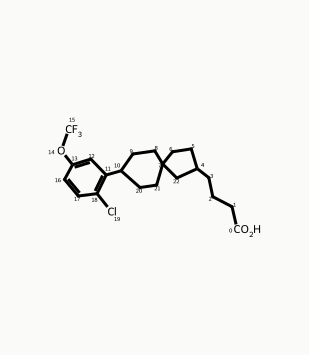 O=C(O)CCCC1CCC2(CCC(c3cc(OC(F)(F)F)ccc3Cl)CC2)C1